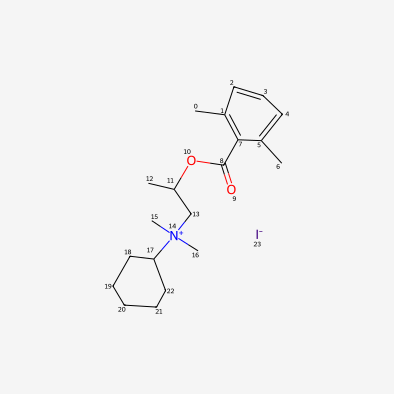 Cc1cccc(C)c1C(=O)OC(C)C[N+](C)(C)C1CCCCC1.[I-]